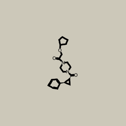 O=C(COC1CCCC1)N1CCN(C(=O)[C@@H]2C[C@H]2c2ccccc2)CC1